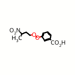 CC(CCOOc1cccc(C(=O)O)c1)[N+](=O)[O-]